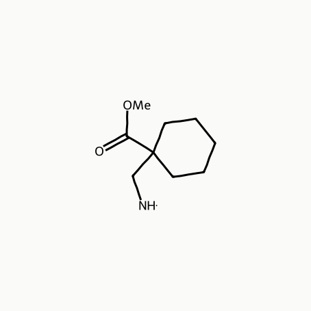 COC(=O)C1(C[NH])CCCCC1